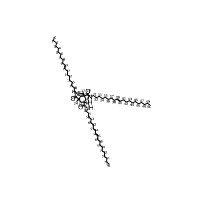 CCCCCCCCCCC=CCCCCCCCCNC(=O)C1(C)CC(C)(C(=O)NCCCCCCCCC=CCCCCCCCCCC)CC(C)(C(=O)NCCCCCCCCC=CCCCCCCCCCC)C1